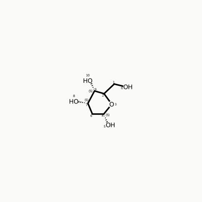 OCC1O[C@H](O)C[C@H](O)[C@@H]1O